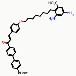 CCCCCc1ccc(-c2ccc(C(=O)C=Cc3ccc(OCCCCCCCCc4c(N)cc(N)cc4C(=O)O)cc3)cc2)cc1